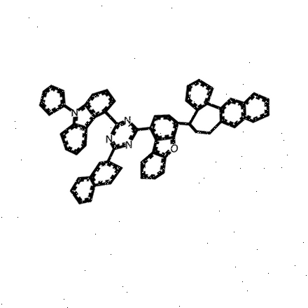 c1ccc(-n2c3ccccc3c3c(-c4nc(-c5ccc6ccccc6c5)nc(-c5ccc(C6CCc7cc8ccccc8cc7-c7ccccc76)c6oc7ccccc7c56)n4)cccc32)cc1